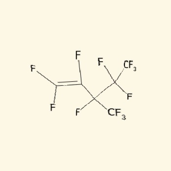 FC(F)=C(F)C(F)(C(F)(F)F)C(F)(F)C(F)(F)F